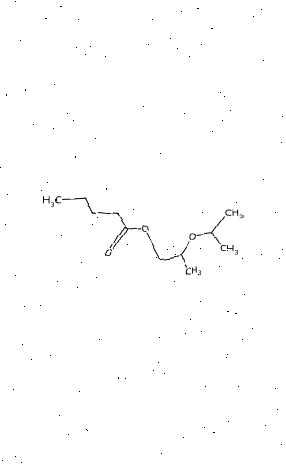 CCCCC(=O)OCC(C)OC(C)C